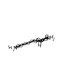 NCCOCCOCCOCCOCCOCCOCCC(=O)Nc1ccc(COC(N)=O)cc1